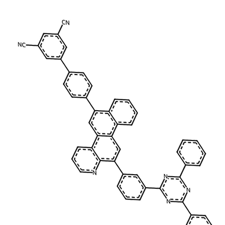 N#Cc1cc(C#N)cc(-c2ccc(-c3cc4c5cccnc5c(-c5cccc(-c6nc(-c7ccccc7)nc(-c7ccccc7)n6)c5)cc4c4ccccc34)cc2)c1